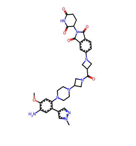 COc1cc(N2CCN(C3CN(C(=O)C4CN(c5ccc6c(c5)C(=O)N(C5CCC(=O)NC5=O)C6=O)C4)C3)CC2)c(-c2cnn(C)c2)cc1N